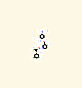 CNc1ccc(NC(=O)c2cc(NC(=O)[C@@H]3[C@@H](c4cc(Cl)c(Cl)c(Cl)c4)C3(Cl)Cl)ccc2Cl)c(C)c1